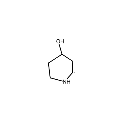 OC1C[CH]NCC1